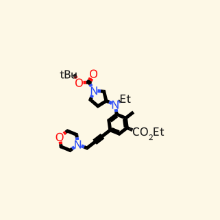 CCOC(=O)c1cc(C#CCN2CCOCC2)cc(N(CC)C2CCN(C(=O)OC(C)(C)C)C2)c1C